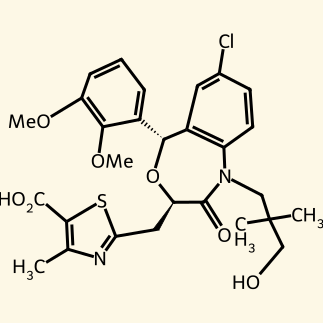 COc1cccc([C@H]2O[C@H](Cc3nc(C)c(C(=O)O)s3)C(=O)N(CC(C)(C)CO)c3ccc(Cl)cc32)c1OC